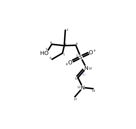 CCC(C)(CO)CS(=O)(=O)/N=C/N(C)C